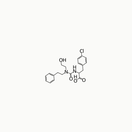 O=C(O)C(Cc1ccc(Cl)cc1)NC(=O)N(CCO)CCc1ccccc1